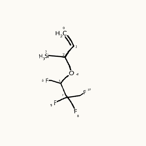 C=CC([SiH3])OC(F)C(F)(F)F